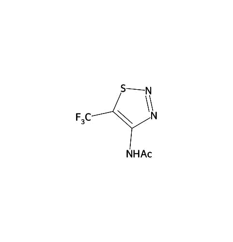 [CH2]C(=O)Nc1nnsc1C(F)(F)F